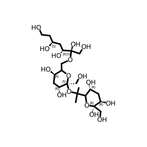 CC(C)(O[C@]1(CO)OC(CO[C@@](O)(CO)[C@H](O)C[C@@H](O)CCO)[C@H](O)C[C@H]1O)C1O[C@](O)(CO)[C@H](O)C[C@H]1O